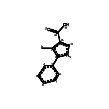 Cc1c(-c2ccccc2)nsc1C(=O)O